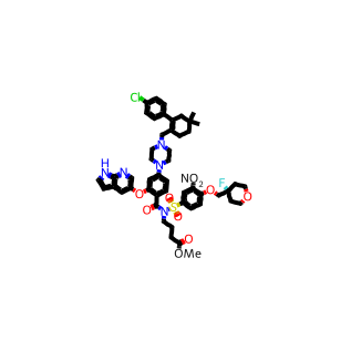 COC(=O)CCCN(C(=O)c1ccc(N2CCN(CC3=C(c4ccc(Cl)cc4)CC(C)(C)CC3)CC2)cc1Oc1cnc2[nH]ccc2c1)S(=O)(=O)c1ccc(OCC2(F)CCOCC2)c([N+](=O)[O-])c1